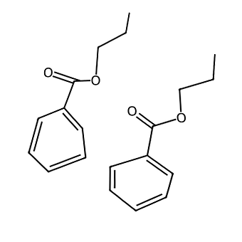 CCCOC(=O)c1ccccc1.CCCOC(=O)c1ccccc1